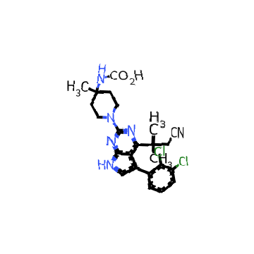 CC1(NC(=O)O)CCN(c2nc(C(C)(C)CC#N)c3c(-c4cccc(Cl)c4Cl)c[nH]c3n2)CC1